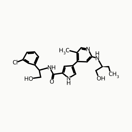 CC[C@@H](CO)Nc1cc(-c2c[nH]c(C(=O)NC(CO)c3cccc(Cl)c3)c2)c(C)cn1